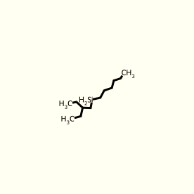 CCCCCC[SiH2]CC(CC)CC